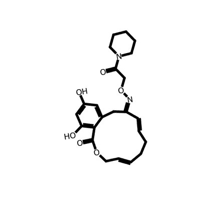 O=C1OC/C=C/CC/C=C/C(=N/OCC(=O)N2CCCCC2)Cc2cc(O)cc(O)c21